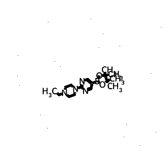 CCN1CCN(c2ncc(B3OC(C)(C)C(C)(C)O3)cn2)CC1